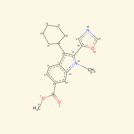 COC(=O)c1ccc2c(C3CCCCC3)c(-c3cnco3)n(C)c2c1